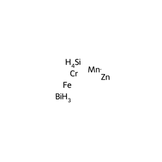 [BiH3].[Cr].[Fe].[Mn].[SiH4].[Zn]